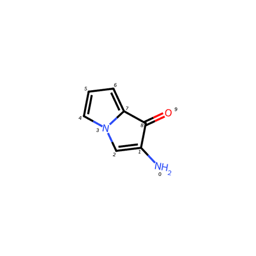 NC1=Cn2cccc2C1=O